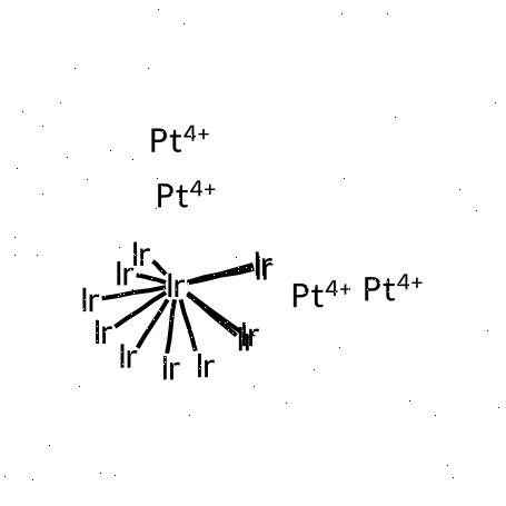 [Ir][Ir]([Ir])([Ir])([Ir])([Ir])([Ir])([Ir])([Ir])([Ir])([Ir])[Ir].[Pt+4].[Pt+4].[Pt+4].[Pt+4]